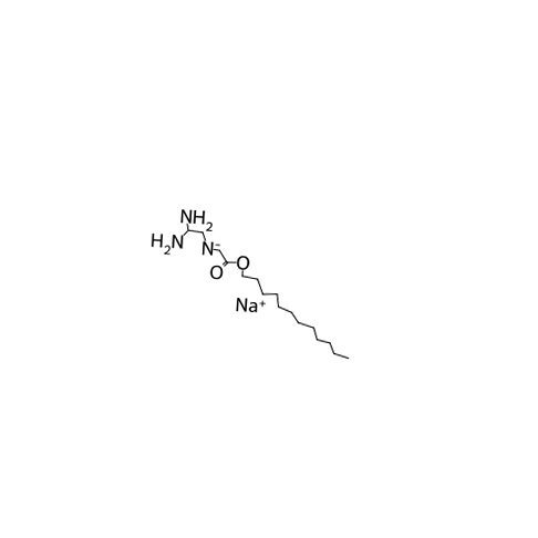 CCCCCCCCCCCCOC(=O)C[N-]CC(N)N.[Na+]